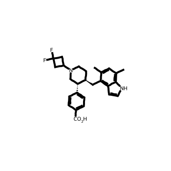 Cc1cc(C)c2[nH]ccc2c1C[C@@H]1CCN(C2CC(F)(F)C2)C[C@H]1c1ccc(C(=O)O)cc1